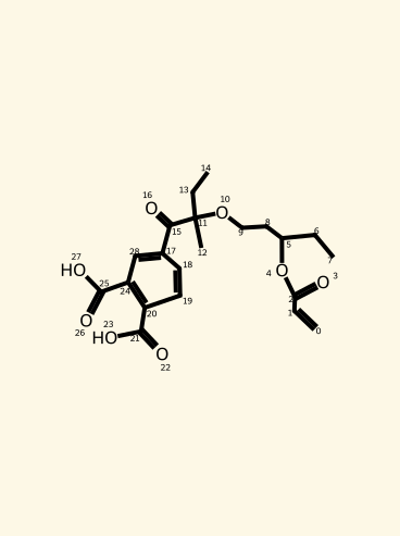 C=CC(=O)OC(CC)CCOC(C)(CC)C(=O)c1ccc(C(=O)O)c(C(=O)O)c1